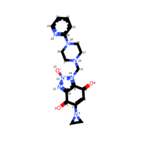 O=C1C(N2CC2)=CC(=O)c2c1n[n+]([O-])n2CN1CCN(c2ccccn2)CC1